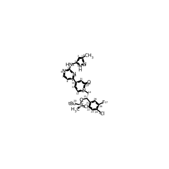 Cc1cc(Nc2nccc(-c3ccn(C[C@@H](O[Si](C)(C)C(C)(C)C)c4ccc(Cl)c(F)c4)c(=O)c3)n2)[nH]n1